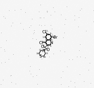 O=S(=O)(c1cnc2c(Br)cc(Cl)cc2c1Cl)N1CCSCC1